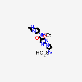 CCOc1nc(N2CC[C@@H](N(C)C(=O)O)C2)ncc1C(=O)Nc1ccc2nc(C)cn2c1